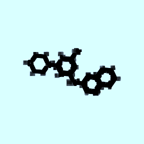 Brc1cc(Nc2cnc3ccccc3c2)nc(N2CCOCC2)n1